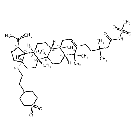 C=C(C)[C@@H]1CC[C@]2(NCCN3CCS(=O)(=O)CC3)CC[C@]3(C)[C@H](CC[C@@H]4[C@@]5(C)CC=C(CCC(C)(C)CC(=O)NS(C)(=O)=O)C(C)(C)[C@@H]5CC[C@]43C)[C@@H]12